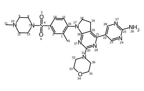 Cc1cc(S(=O)(=O)N2CCN(C)CC2)ccc1N1CCc2c(-c3cnc(N)nc3)nc(N3CCOCC3)nc21